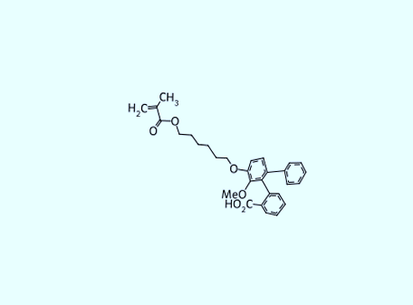 C=C(C)C(=O)OCCCCCCOc1ccc(-c2ccccc2)c(-c2ccccc2C(=O)O)c1OC